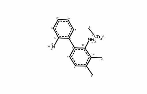 CC(=O)O.Cc1ccc(-c2ccccc2N)c(N)c1C